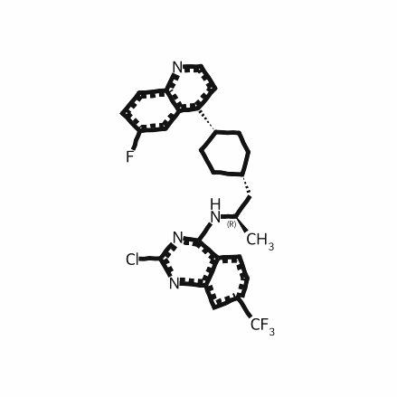 C[C@H](C[C@H]1CC[C@@H](c2ccnc3ccc(F)cc32)CC1)Nc1nc(Cl)nc2cc(C(F)(F)F)ccc12